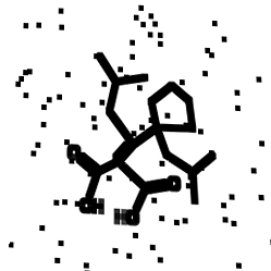 CC(C)CC(=C(C(=O)O)C(=O)O)C1(CC(C)C)CCCC1